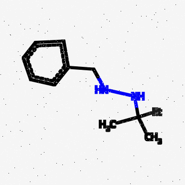 CCC(C)(C)NNCc1ccccc1